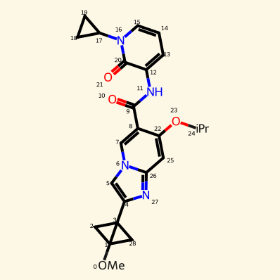 COC12CC1(c1cn3cc(C(=O)Nc4cccn(C5CC5)c4=O)c(OC(C)C)cc3n1)C2